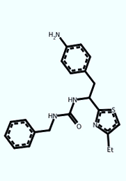 CCc1csc(C(Cc2ccc(N)cc2)NC(=O)NCc2ccccc2)n1